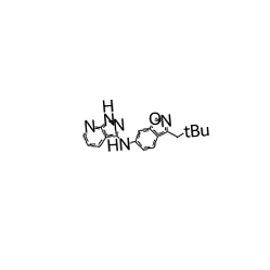 CC(C)(C)Cc1noc2cc(Nc3n[nH]c4ncccc34)ccc12